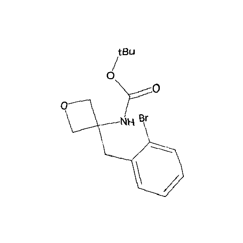 CC(C)(C)OC(=O)NC1(Cc2ccccc2Br)COC1